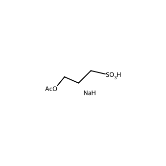 CC(=O)OCCCS(=O)(=O)O.[NaH]